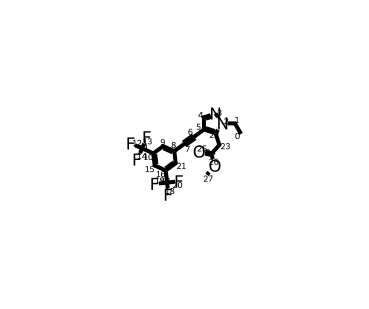 CCn1ncc(C#Cc2cc(C(F)(F)F)cc(C(F)(F)F)c2)c1CC(=O)OC